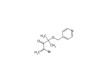 C=C(Br)C(=O)C(C)(C)OCc1ccncc1